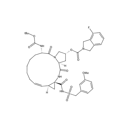 COc1cccc(CS(=O)(=O)NC(=O)[C@@]23C[C@H]2/C=C\CCCCC[C@H](NC(=O)OC(C)(C)C)C(=O)N2C[C@H](OC(=O)N4Cc5cccc(F)c5C4)C[C@H]2C(=O)N3)c1